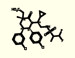 CC(C(F)F)S(=O)(=O)NC[C@H](C1CC1)N1C(=O)[C@@](C)(CC(=O)O)C[C@H](c2cccc(Cl)c2)[C@H]1c1ccc(Cl)cc1